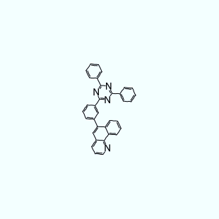 c1ccc(-c2nc(-c3ccccc3)nc(-c3cccc(-c4cc5cccnc5c5ccccc45)c3)n2)cc1